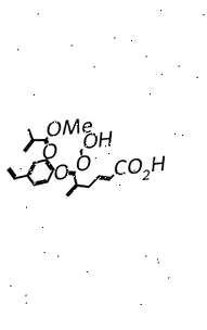 C=C(C)C(=O)OC.C=C(CC=CC(=O)O)C(=O)OCO.C=Cc1ccccc1